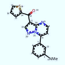 CNc1cccc(-c2ccnc3c(C(=O)c4cccs4)cnn23)c1